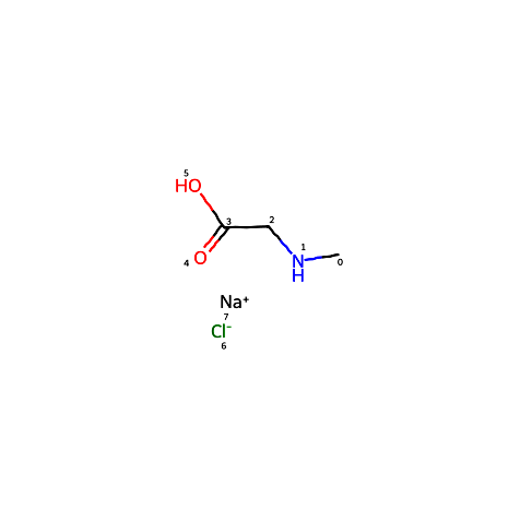 CNCC(=O)O.[Cl-].[Na+]